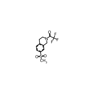 CS(=O)(=O)c1ccc2c(c1)CN(C(=O)C(F)(F)F)CC2